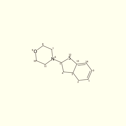 C1=CCC2CC(N3CCOCC3)SC2=C1